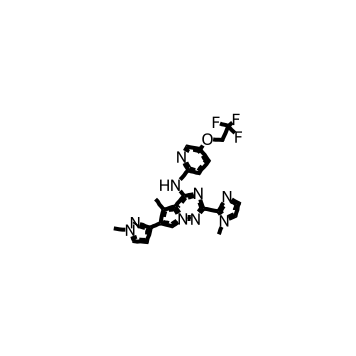 Cc1c(-c2ccn(C)n2)cn2nc(-c3nccn3C)nc(Nc3ccc(OCC(F)(F)F)cn3)c12